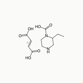 CCC1CNCCN1C(=O)O.O=C(O)/C=C/C(=O)O